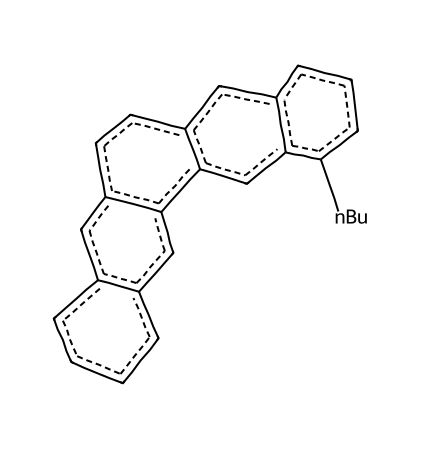 CCCCc1cccc2cc3ccc4cc5ccccc5cc4c3cc12